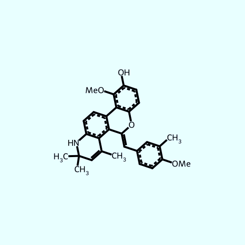 COc1ccc(/C=C2\Oc3ccc(O)c(OC)c3-c3ccc4c(c32)C(C)=CC(C)(C)N4)cc1C